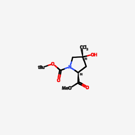 COC(=O)[C@@H]1C[C@](O)(C(Cl)(Cl)Cl)CN1C(=O)OC(C)(C)C